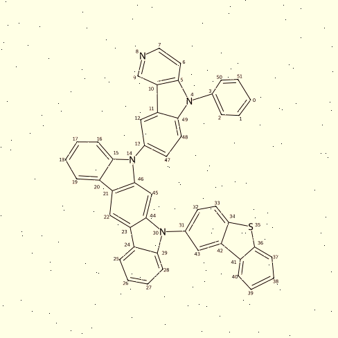 c1ccc(-n2c3ccncc3c3cc(-n4c5ccccc5c5cc6c7ccccc7n(-c7ccc8sc9ccccc9c8c7)c6cc54)ccc32)cc1